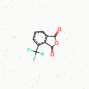 O=C1OC(=O)c2c1cccc2C(F)(F)F